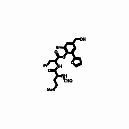 CSCCC(NC=O)C(=O)NC(CC(C)C)C(=O)Oc1c(Br)cc(CO)cc1-c1ccco1